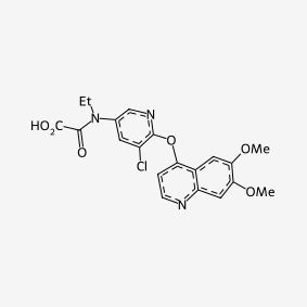 CCN(C(=O)C(=O)O)c1cnc(Oc2ccnc3cc(OC)c(OC)cc23)c(Cl)c1